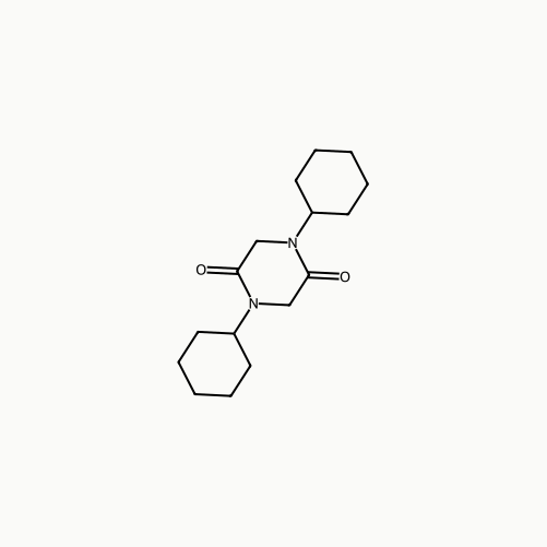 O=C1CN(C2CCCCC2)C(=O)CN1C1CCCCC1